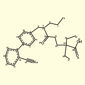 CCCN(Cc1ccc(-c2ccccc2C#N)cc1)C(=O)CCC(CC)(CC)C(=O)O